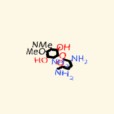 CN[C@H]1[C@@H](O)[C@H](O[C@H]2OC(CN)=CC[C@H]2N)[C@@H](N)[C@H](O)[C@@H]1OC